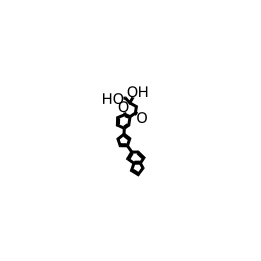 O=C1CC(CO)(CO)Oc2ccc(C3=CC(c4ccc5c(c4)C=CC5)=CC3)cc21